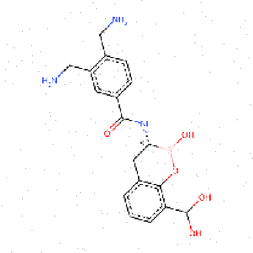 NCc1ccc(C(=O)N[C@H]2Cc3cccc(C(O)O)c3OB2O)cc1CN